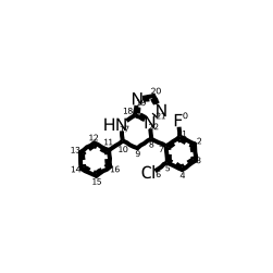 Fc1cccc(Cl)c1C1CC(c2ccccc2)Nc2ncnn21